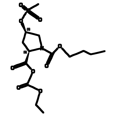 CCCCOC(=O)N1C[C@H](OS(C)(=O)=O)C[C@H]1C(=O)OC(=O)OCC